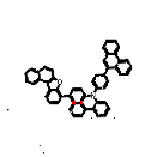 c1ccc(-c2ccccc2N(c2ccc(-c3cc4ccccc4c4ccccc34)cc2)c2ccc(-c3cccc4c3oc3ccc5ccccc5c34)cc2)cc1